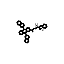 C=N/C(=C\C=C(/C)c1ccc2c(-c3ccc4ccccc4c3)c3ccccc3c(-c3ccc4ccccc4c3)c2c1)c1cnc2ccccc2c1